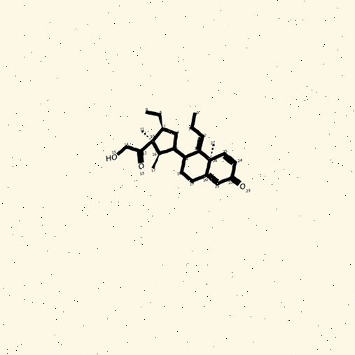 CC/C=C1\C(C2C[C@H](CC)[C@](C)(C(=O)CO)[C@@H]2C)CCC2=CC(=O)C=C[C@@]21C